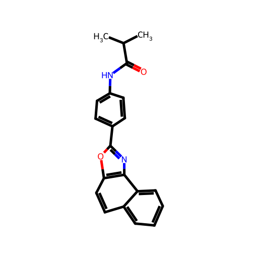 CC(C)C(=O)Nc1ccc(-c2nc3c(ccc4ccccc43)o2)cc1